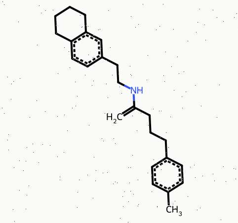 C=C(CCCc1ccc(C)cc1)NCCc1ccc2c(c1)CCCC2